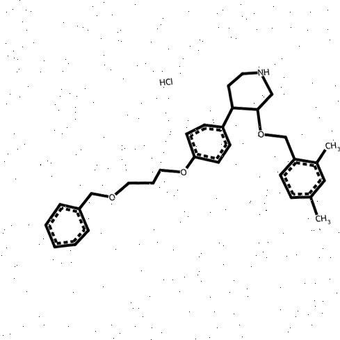 Cc1ccc(COC2CNCCC2c2ccc(OCCCOCc3ccccc3)cc2)c(C)c1.Cl